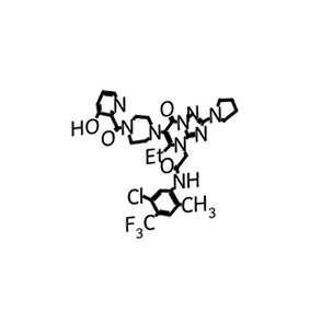 CCc1c(N2CCN(C(=O)c3ncccc3O)CC2)c(=O)n2nc(N3CCCC3)nc2n1CC(=O)Nc1cc(Cl)c(C(F)(F)F)cc1C